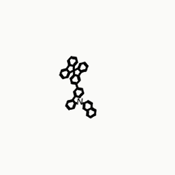 c1ccc2c(c1)-c1ccccc1C21c2ccccc2-c2cc(-c3ccc4c(c3)c3ccccc3n4-c3ccc4ccccc4c3)ccc21